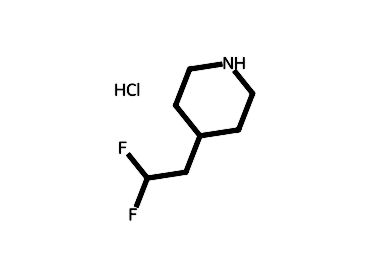 Cl.FC(F)CC1CCNCC1